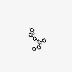 c1ccc(-c2cccc(-c3nc(-c4ccccc4)nc(-c4ccc(-c5cccc6c5oc5ccccc56)cc4)n3)c2)cc1